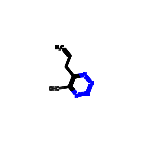 C=CCc1nnnnc1C=O